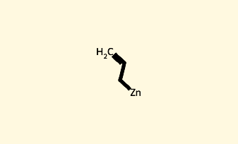 C=C[CH2][Zn]